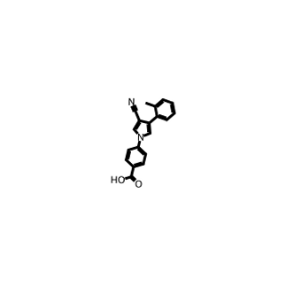 Cc1ccccc1-c1cn(-c2ccc(C(=O)O)cc2)cc1C#N